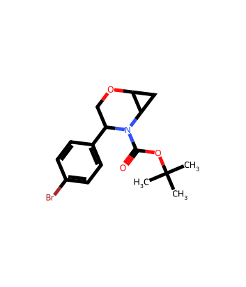 CC(C)(C)OC(=O)N1C(c2ccc(Br)cc2)COC2CC21